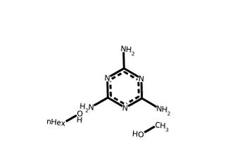 CCCCCCO.CO.Nc1nc(N)nc(N)n1